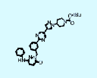 CC(C)(C)OC(=O)N1CCC(n2cc(-c3cnc(-c4cccc(Cn5nc(Nc6ccccc6)ccc5=O)c4)nc3)cn2)CC1